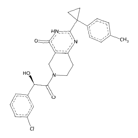 Cc1ccc(C2(c3nc4c(c(=O)[nH]3)CN(C(=O)[C@H](O)c3cccc(Cl)c3)CC4)CC2)cc1